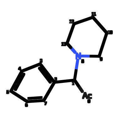 CC(=O)C(c1ccccc1)N1CCCCC1